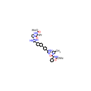 C=C1C[C@@H](c2ncc(-c3ccc(-c4ccc5cc(C6=CNC([C@@H]7CCCN7C(=O)[C@@H](NC(=O)OC)C(C)C)N6)ccc5c4)cc3)[nH]2)N(C(=O)[C@H](NC(=O)OC)c2ccccc2)C1